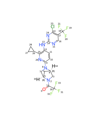 O=C(N1C[C@H]2C[C@@H]1CN2c1ccc(Nc2ncc(C(F)(F)F)c(Cl)n2)c(C2CC2)n1)C(F)(F)F